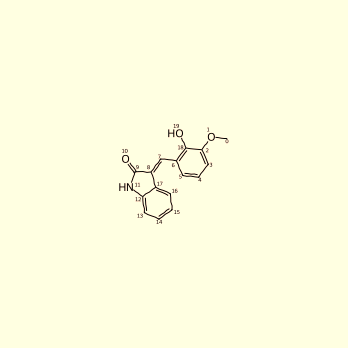 COc1cccc(/C=C2/C(=O)Nc3ccccc32)c1O